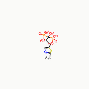 Cc1ncc(CCC(O)(P(=O)(O)O)P(=O)(O)O)s1